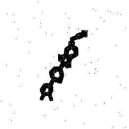 Cc1ccc(-c2ccc(-c3nc4ccn(CC#N)cc-4n3)cc2)cc1C